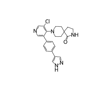 O=C1NCCC12CCN(c1c(Cl)cncc1-c1ccc(-c3cn[nH]c3)cc1)CC2